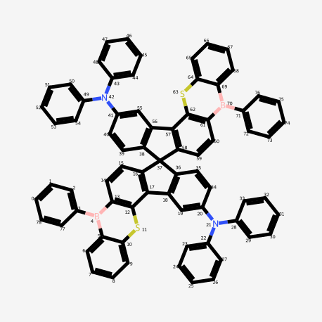 c1ccc(B2c3ccccc3Sc3c2ccc2c3-c3cc(N(c4ccccc4)c4ccccc4)ccc3C23c2ccc(N(c4ccccc4)c4ccccc4)cc2-c2c3ccc3c2Sc2ccccc2B3c2ccccc2)cc1